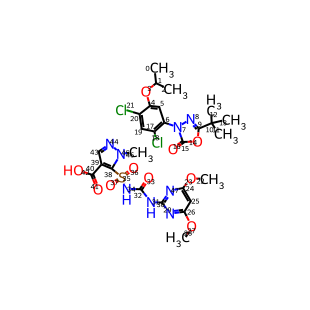 CC(C)Oc1cc(-n2nc(C(C)(C)C)oc2=O)c(Cl)cc1Cl.COc1cc(OC)nc(NC(=O)NS(=O)(=O)c2c(C(=O)O)cnn2C)n1